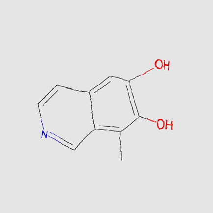 Cc1c(O)c(O)cc2ccncc12